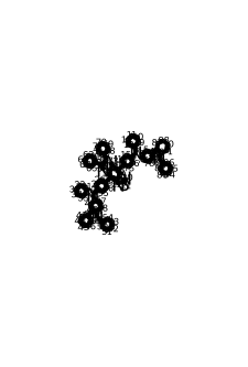 C1=Cc2c(c3cc(N(c4ccccc4)c4ccc(-c5c6nsnc6c(-c6ccc(N(c7ccccc7)c7ccc8c(c7)c7ccccc7n8-c7ccccc7)cc6)c6nc(-c7ccccc7)c(-c7ccccc7)nc56)cc4)ccc3n2-c2ccccc2)CC1